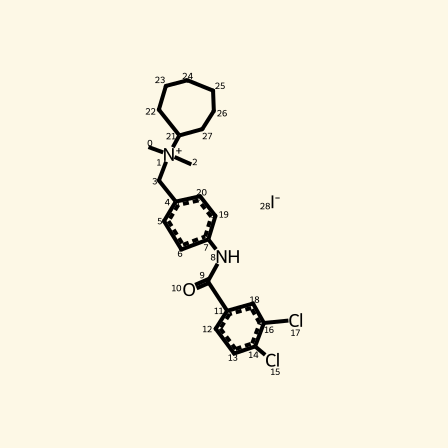 C[N+](C)(Cc1ccc(NC(=O)c2ccc(Cl)c(Cl)c2)cc1)C1CCCCCC1.[I-]